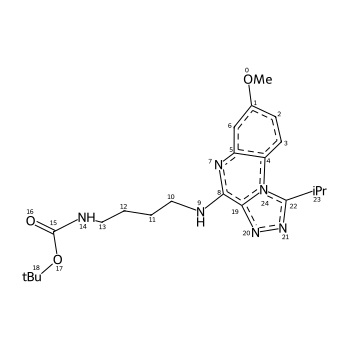 COc1ccc2c(c1)nc(NCCCCNC(=O)OC(C)(C)C)c1nnc(C(C)C)n12